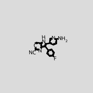 N#Cc1ccc2[nH]c(-c3ccc(N)nc3)c(-c3ccc(F)cc3)c2n1